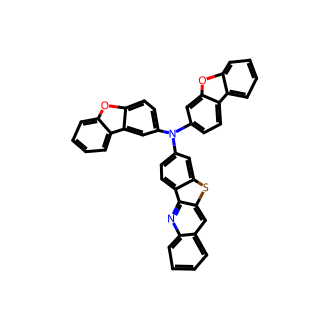 c1ccc2nc3c(cc2c1)sc1cc(N(c2ccc4c(c2)oc2ccccc24)c2ccc4oc5ccccc5c4c2)ccc13